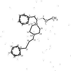 COC[C@@H](Cc1ccccc1)N1CCN(CCCc2ccccc2)CC1